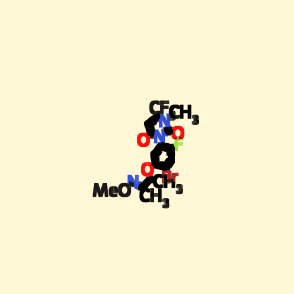 CON=C(C)C(C)Oc1cc(-n2c(=O)cc(C(F)(F)F)n(C)c2=O)c(F)cc1Br